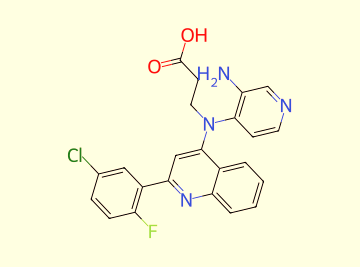 Nc1cnccc1N(CCC(=O)O)c1cc(-c2cc(Cl)ccc2F)nc2ccccc12